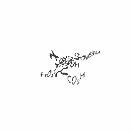 C=C(C(=O)O)C(C=CC(=O)O)CCP(=O)(O)O.C=C(C)C(=O)OC.C=CC(=O)OCCCC.CCC(C)(C)C